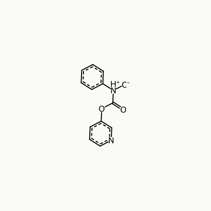 [CH2-][NH+](C(=O)Oc1cccnc1)c1ccccc1